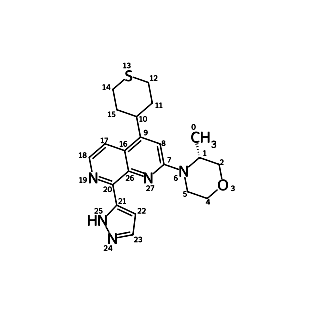 C[C@@H]1COCCN1c1cc(C2CCSCC2)c2ccnc(-c3ccn[nH]3)c2n1